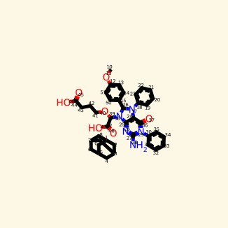 C1C2CC3CC1CC(C2)C3.COc1ccc(C2N(c3ccccc3)c3c(nc(N)n(-c4ccccc4)c3=O)N2C(OCCCC(=O)O)C(=O)O)cc1